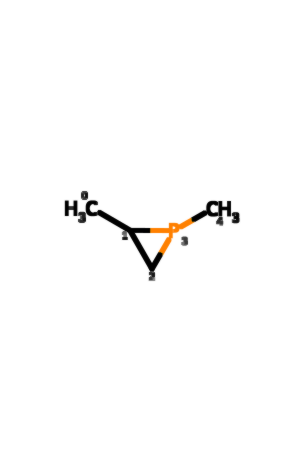 CC1CP1C